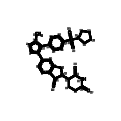 Cn1ncc(-c2ccc3c(c2)CN(C2CCC(=O)NC2=O)C3=O)c1-c1ccc(S(=O)(=O)N2CCCC2)cc1